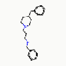 c1ccc(CNCCCN2CCC(Cc3ccccc3)CC2)cc1